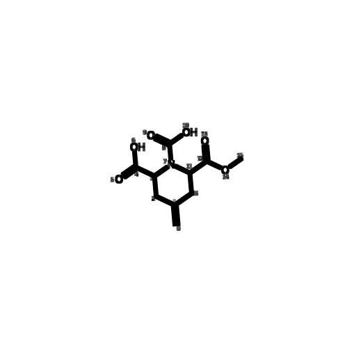 C=C1CC(C(=O)O)N(C(=O)O)C(C(=O)OC)C1